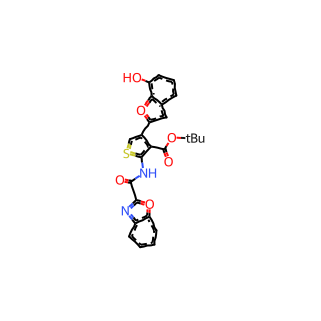 CC(C)(C)OC(=O)c1c(-c2cc3cccc(O)c3o2)csc1NC(=O)c1nc2ccccc2o1